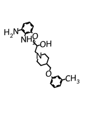 Cc1cccc(OCC2CCN(CC(O)COc3cccc(N)c3N)CC2)c1